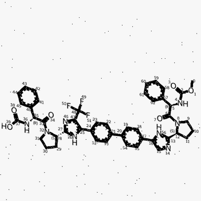 COC(=O)N[C@@H](C(=O)N1CCC[C@H]1c1ncc(-c2ccc(-c3ccc(-c4[nH]c([C@@H]5CCCN5C(=O)[C@H](NC(=O)O)c5ccccc5)nc4C(F)(F)F)cc3)cc2)[nH]1)c1ccccc1